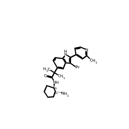 Cc1cc(-c2[nH]c3ccc(C(C)(C)C(=O)N[C@@H]4CCCC[C@H]4N)cc3c2C(C)C)ccn1